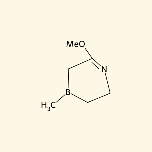 COC1=NCCB(C)C1